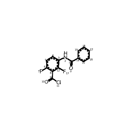 O=C(Nc1ccc(F)c(C(=O)Cl)c1F)c1ccccc1